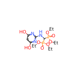 CCOP(=O)(OCC)C(Nc1nc(O)cc(O)n1)P(=O)(OCC)OCC